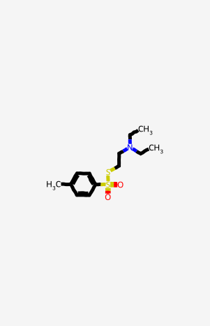 CCN(CC)CCSS(=O)(=O)c1ccc(C)cc1